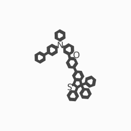 c1ccc(-c2ccc(N(c3ccccc3)c3ccc4oc5cc(-c6ccc7c(c6)C6Sc8ccccc8C6C7(c6ccccc6)c6ccccc6)ccc5c4c3)cc2)cc1